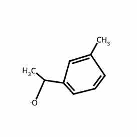 Cc1cccc(C(C)[O])c1